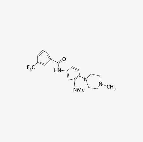 CNc1cc(NC(=O)c2cccc(C(F)(F)F)c2)ccc1N1CCN(C)CC1